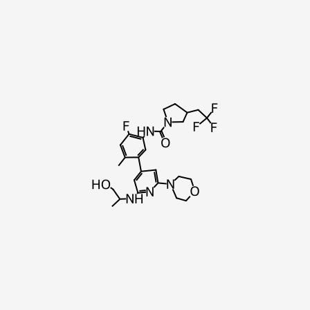 Cc1cc(F)c(NC(=O)N2CCC(CC(F)(F)F)C2)cc1-c1cc(NC(C)CO)nc(N2CCOCC2)c1